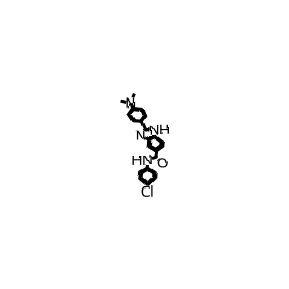 CN(C)c1ccc(-c2nc3cc(C(=O)Nc4ccc(Cl)cc4)ccc3[nH]2)cc1